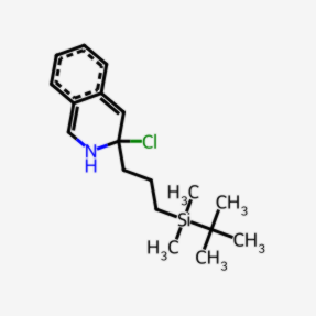 CC(C)(C)[Si](C)(C)CCCC1(Cl)C=c2ccccc2=CN1